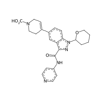 O=C(Nc1ccncc1)c1nn(C2CCCCO2)c2ccc(C3=CCN(C(=O)O)CC3)cc12